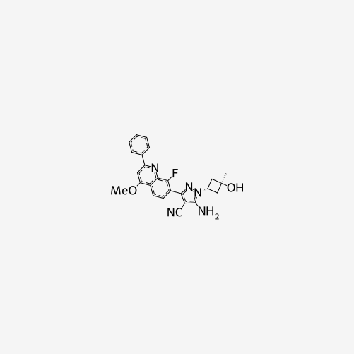 COc1cc(-c2ccccc2)nc2c(F)c(-c3nn([C@H]4C[C@](C)(O)C4)c(N)c3C#N)ccc12